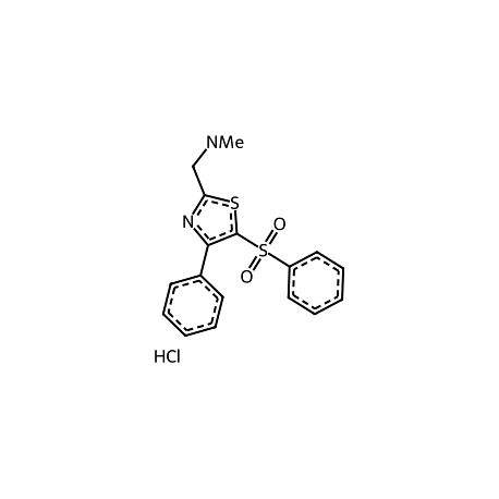 CNCc1nc(-c2ccccc2)c(S(=O)(=O)c2ccccc2)s1.Cl